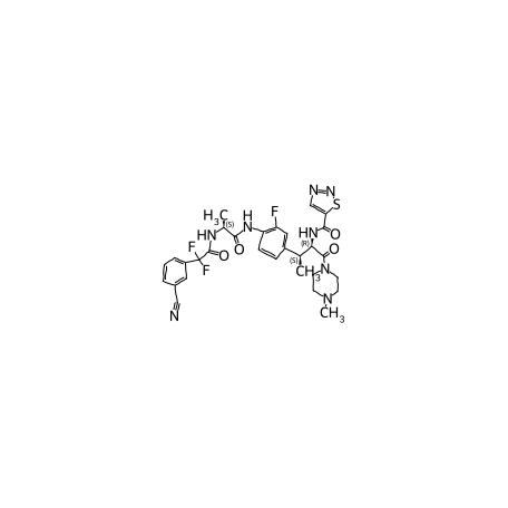 C[C@H](NC(=O)C(F)(F)c1cccc(C#N)c1)C(=O)Nc1ccc([C@H](C)[C@@H](NC(=O)c2cnns2)C(=O)N2CCN(C)CC2)cc1F